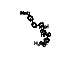 COC1CCN(c2cccc(-c3csc(NC(=O)CNC(=O)c4ccn([S+](C)[O-])c4)n3)c2)CC1